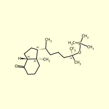 CC(CCC[C@](C)(O[Si](C)(C)C)C(F)(F)F)[C@H]1CC[C@H]2C(=O)CCC[C@]12C